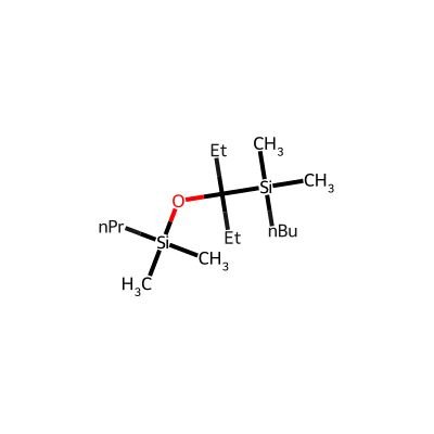 CCCC[Si](C)(C)C(CC)(CC)O[Si](C)(C)CCC